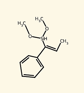 CC=C(c1ccccc1)[SiH](OC)OC